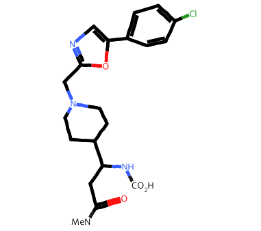 CNC(=O)CC(NC(=O)O)C1CCN(Cc2ncc(-c3ccc(Cl)cc3)o2)CC1